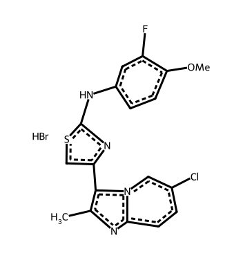 Br.COc1ccc(Nc2nc(-c3c(C)nc4ccc(Cl)cn34)cs2)cc1F